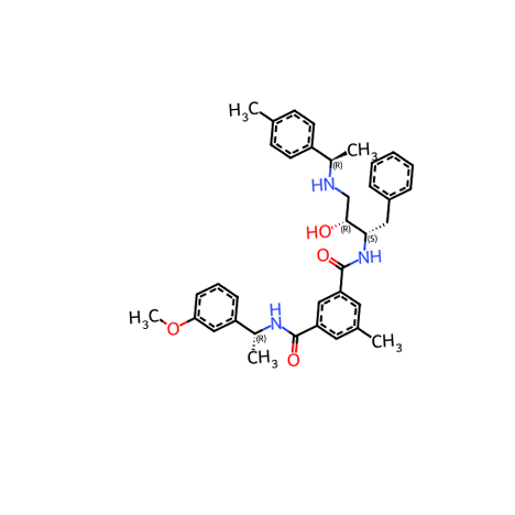 COc1cccc([C@@H](C)NC(=O)c2cc(C)cc(C(=O)N[C@@H](Cc3ccccc3)[C@H](O)CN[C@H](C)c3ccc(C)cc3)c2)c1